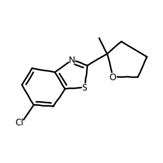 CC1(c2nc3ccc(Cl)cc3s2)CCCO1